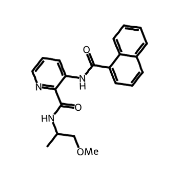 COCC(C)NC(=O)c1ncccc1NC(=O)c1cccc2ccccc12